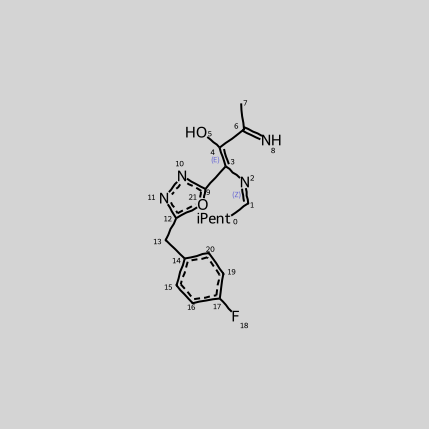 CCCC(C)/C=N\C(=C(\O)C(C)=N)c1nnc(Cc2ccc(F)cc2)o1